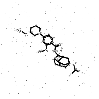 CCCSc1nc(N2CCC[C@@H](CC(=O)O)C2)ccc1C(=O)N[C@H]1C2CC3CC1C[C@](OC(F)F)(C3)C2